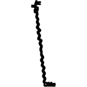 C=C(OOCCCCCCCCCCCCCCCCCCCCCCCCCCOC)C(C)=O